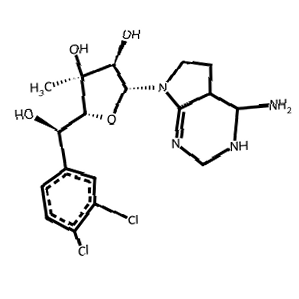 C[C@@]1(O)[C@@H]([C@H](O)c2ccc(Cl)c(Cl)c2)O[C@@H](N2CCC3C2=NCNC3N)[C@@H]1O